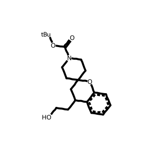 CC(C)(C)OC(=O)N1CCC2(CC1)CC(CCO)c1ccccc1O2